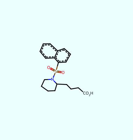 O=C(O)CCCC1CCCCN1S(=O)(=O)c1cccc2ccccc12